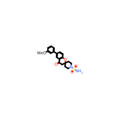 COc1cccc(-c2ccc3c(c2)C(=O)CC2(CCN(S(N)(=O)=O)CC2)O3)c1